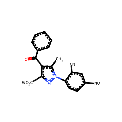 CCOC(=O)c1nn(-c2ccc(N=O)cc2C#N)c(C)c1C(=O)c1ccccc1